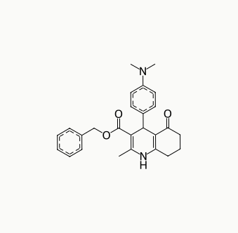 CC1=C(C(=O)OCc2ccccc2)C(c2ccc(N(C)C)cc2)C2=C(CCCC2=O)N1